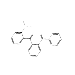 CN(C)c1ccccc1C(=O)c1ccccc1C(=O)c1ccccc1